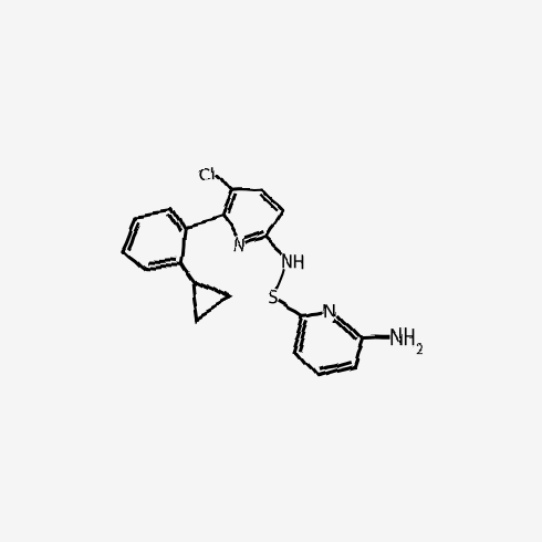 Nc1cccc(SNc2ccc(Cl)c(-c3ccccc3C3CC3)n2)n1